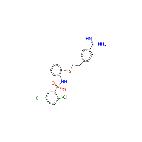 N=C(N)c1ccc(CCSc2ccccc2NS(=O)(=O)c2cc(Cl)ccc2Cl)cc1